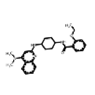 CCOc1ccccc1C(=O)NC1CCC(Nc2cc(N(C)C)c3ccccc3n2)CC1